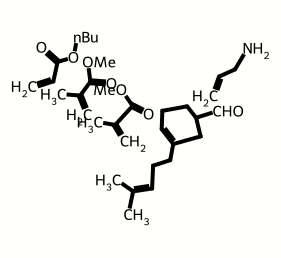 C=C(C)C(=O)OC.C=C(C)C(=O)OC.C=CC(=O)OCCCC.C=CCN.CC(C)=CCCC1=CCCC(C=O)C1